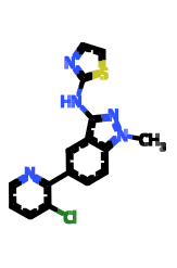 Cn1nc(Nc2nccs2)c2cc(-c3ncccc3Cl)ccc21